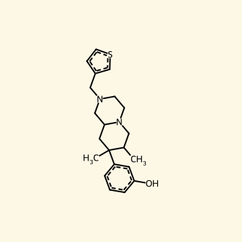 CC1CN2CCN(Cc3ccsc3)CC2CC1(C)c1cccc(O)c1